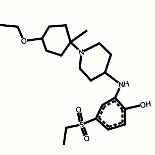 CCOC1CCC(C)(N2CCC(Nc3cc(S(=O)(=O)CC)ccc3O)CC2)CC1